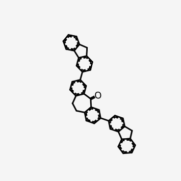 O=C1c2cc(-c3ccc4c(c3)-c3ccccc3C4)ccc2CCc2ccc(-c3ccc4c(c3)-c3ccccc3C4)cc21